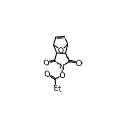 CCC(=O)ON1C(=O)C2C3C=CC(O3)C2C1=O